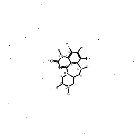 Cc1c(F)c2c3c(nc(=O)n(C)c3c1F)N1CC(C)N(C)CC1CN2C